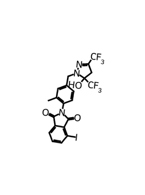 Cc1cc(CN2N=C(C(F)(F)F)CC2(O)C(F)(F)F)ccc1N1C(=O)c2cccc(I)c2C1=O